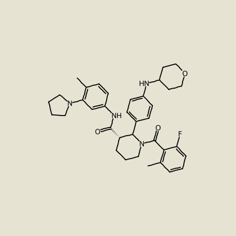 Cc1ccc(NC(=O)[C@H]2CCCN(C(=O)c3c(C)cccc3F)C2c2ccc(NC3CCOCC3)cc2)cc1N1CCCC1